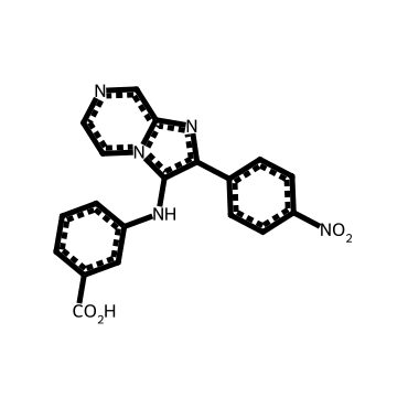 O=C(O)c1cccc(Nc2c(-c3ccc([N+](=O)[O-])cc3)nc3cnccn23)c1